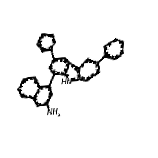 Nc1cc(-c2cc(-c3ccccc3)cc3c2[nH]c2ccc(-c4ccccc4)cc23)c2ccccc2c1